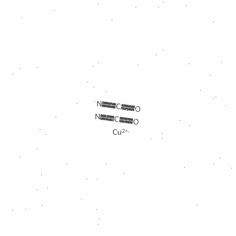 [Cu+2].[N-]=C=O.[N-]=C=O